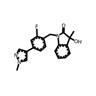 Cn1cc(-c2ccc(CN3C(=O)C(C)(O)c4ccccc43)c(F)c2)cn1